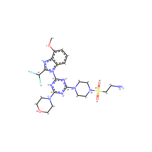 COc1cccc2c1nc(C(F)F)n2-c1nc(N2CCOCC2)nc(N2CCN(S(=O)(=O)CCN)CC2)n1